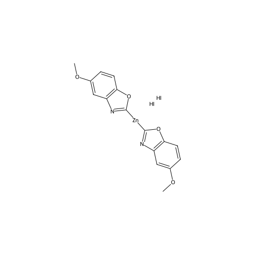 COc1ccc2o[c]([Zn][c]3nc4cc(OC)ccc4o3)nc2c1.I.I